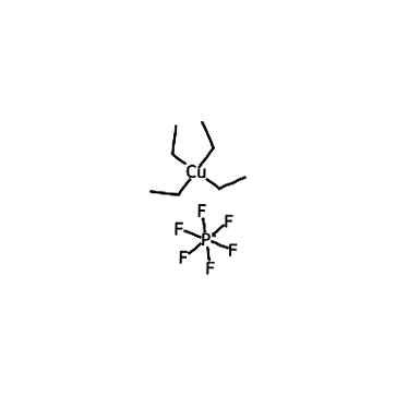 C[CH2][Cu]([CH2]C)([CH2]C)[CH2]C.F[P-](F)(F)(F)(F)F